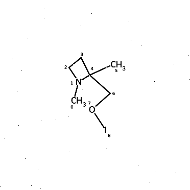 CN1CCC1(C)COI